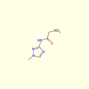 Cn1cnc(NC(=O)C[N+](=O)[O-])n1